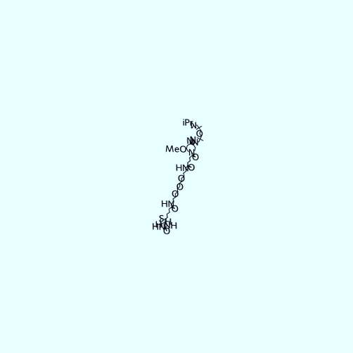 CO[C@@H]1Cc2nnn(CC(C)(C)COCC(C)(C)CN(C)C(C)C)c2CCN(C(=O)CCCC(=O)NCCCOCCOCCOCCCNC(=O)CCCC[C@@H]2SC[C@@H]3NC(=O)N[C@@H]32)C1